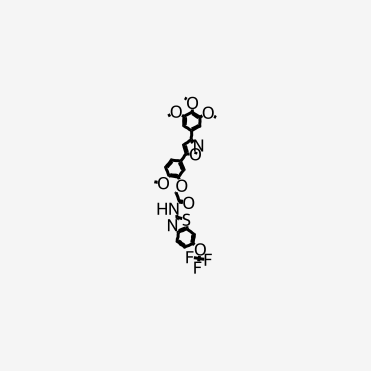 COc1ccc(-c2cc(-c3cc(OC)c(OC)c(OC)c3)no2)cc1OCC(=O)Nc1nc2ccc(OC(F)(F)F)cc2s1